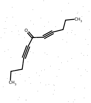 CCCC#CC(=O)C#CCCC